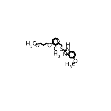 COCCCOc1ccnc(CSc2nc3cc(OC)ccc3[nH]2)c1C